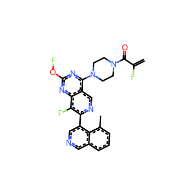 C=C(F)C(=O)N1CCN(c2nc(OF)nc3c(F)c(-c4cncc5cccc(C)c45)ncc23)CC1